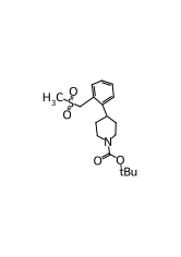 CC(C)(C)OC(=O)N1CCC(c2ccccc2CS(C)(=O)=O)CC1